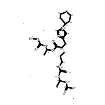 CC(C)OC(=O)OC(C)OC(=O)[C@@H](CCCNC(=O)OC(C)OC(=O)C(C)C)Cc1cn(C2CCCCC2)cn1